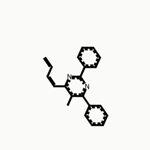 C=C/C=C\c1nc(-c2ccccc2)nc(-c2ccccc2)c1C